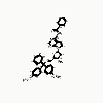 COc1ccc(C(OC[C@H]2O[C@@H](n3ccc4c(NC(=O)c5ccccc5)ncnc43)C[C@@H]2O)(c2ccccc2)c2ccc(OC)cc2)cc1